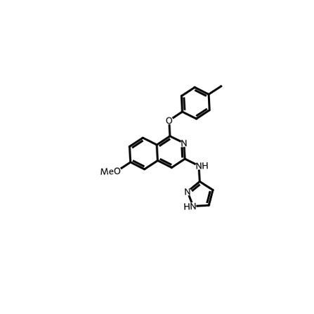 COc1ccc2c(Oc3ccc(C)cc3)nc(Nc3cc[nH]n3)cc2c1